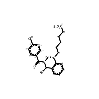 [2H]C(c1ccccc1OCCCCCC(=O)OCC)N(C(=O)c1ccc(Cl)nc1)C(C)C